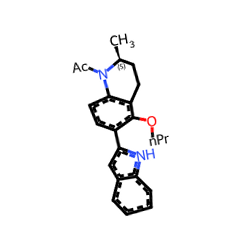 CCCOc1c(-c2cc3ccccc3[nH]2)ccc2c1CC[C@H](C)N2C(C)=O